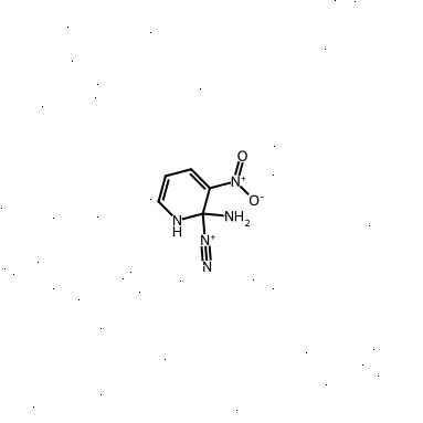 N#[N+]C1(N)NC=CC=C1[N+](=O)[O-]